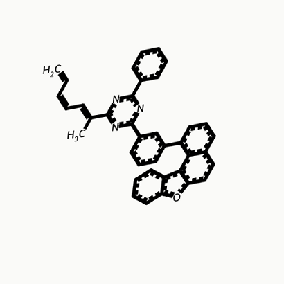 C=C/C=C\C=C(/C)c1nc(-c2ccccc2)nc(-c2cccc(-c3cccc4ccc5oc6ccccc6c5c34)c2)n1